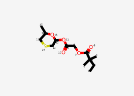 CCC(C)(C)C(=O)OCC(=O)OC1CSCC(C)O1